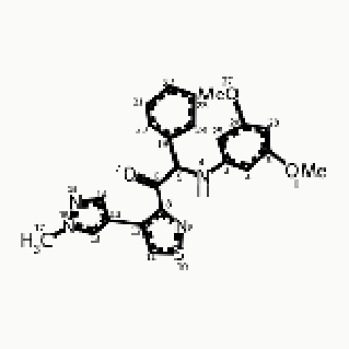 COc1cc(NC(C(=O)c2nscc2-c2cnn(C)c2)c2ccccc2)cc(OC)c1